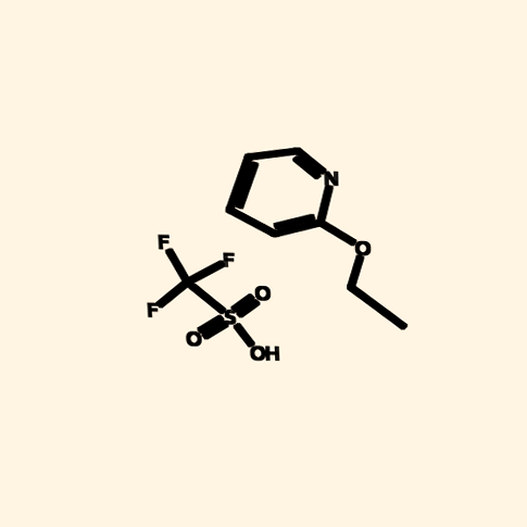 CCOc1ccccn1.O=S(=O)(O)C(F)(F)F